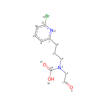 O=CCN(CCCc1cccc(Br)n1)C(=O)O